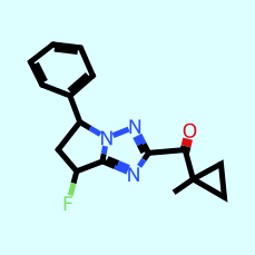 CC1(C(=O)c2nc3n(n2)C(c2ccccc2)CC3F)CC1